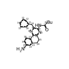 CCC(C)C(=O)Nc1nc2c(nc1Cc1ccccc1)-c1ccc(N)cc1CC2